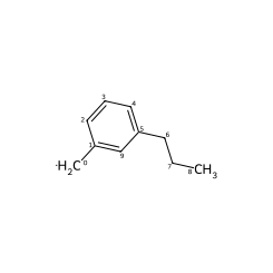 [CH2]c1cccc(CCC)c1